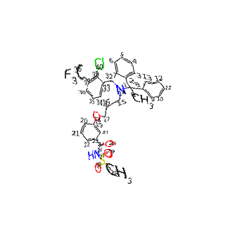 CC(c1ccccc1)(c1ccccc1)N(CCCOc1cccc(C(=O)NS(C)(=O)=O)c1)Cc1cccc(C(F)(F)F)c1Cl